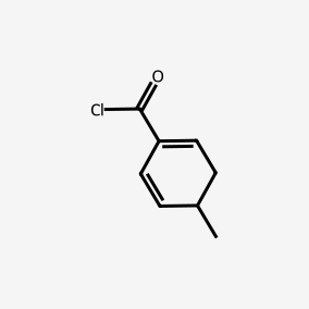 CC1C=CC(C(=O)Cl)=CC1